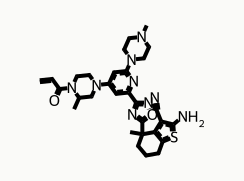 C=CC(=O)N1CCN(c2cc(-c3noc(C4(C)CCCc5sc(N)c(C#N)c54)n3)nc(N3CCN(C)CC3)c2)CC1C